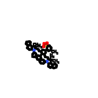 CC1(C)C(=CC=C2CCCC(C=CC3=[N+](c4ccccc4)c4ccc5ccccc5c4C3(C)C)=C2c2ccccc2)N(c2ccccc2)c2ccc3ccccc3c21.Cc1ccc(S(=O)(=O)[O-])cc1